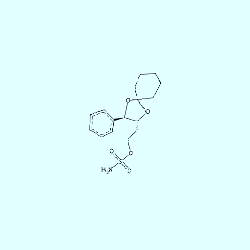 NS(=O)(=O)OCC[C@H]1OC2(CCCCC2)O[C@@H]1c1ccccc1